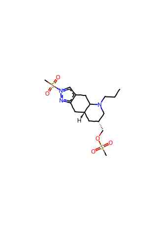 CCCN1C[C@H](COS(C)(=O)=O)C[C@@H]2Cc3nn(S(C)(=O)=O)cc3CC21